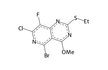 CCSc1nc(OC)c2c(Br)nc(Cl)c(F)c2n1